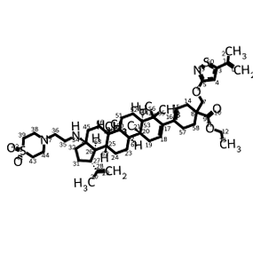 C=C(C)c1cc(OCC2(C(=O)OCC)CC=C(C3=CC[C@]4(C)[C@H]5CC[C@@H]6[C@H]7[C@H](C(=C)C)CC[C@]7(NCCN7CCS(=O)(=O)CC7)CC[C@@]6(C)[C@]5(C)CC[C@H]4C3(C)C)CC2)ns1